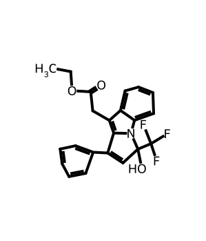 CCOC(=O)Cc1c2n(c3ccccc13)C(O)(C(F)(F)F)C=C2c1ccccc1